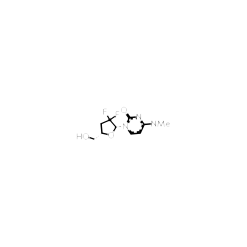 CNc1ccn([C@@H]2O[C@H](CO)CC2(F)F)c(=O)n1